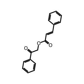 O=C(/C=C/c1ccccc1)OCC(=O)c1ccccc1